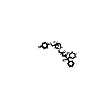 OC(c1ccccc1)(c1cc(C[N+]23CCC(CC2)[C@H](CSc2ccc(F)cc2)C3)on1)C1CCCCC1